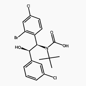 CC(C)(C)N(C(=O)O)[C@H](c1ccc(Cl)cc1Br)[C@H](O)c1cccc(Cl)c1